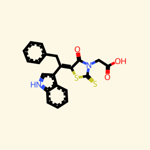 O=C(O)CN1C(=O)C(=C(Cc2ccccc2)c2c[nH]c3ccccc23)SC1=S